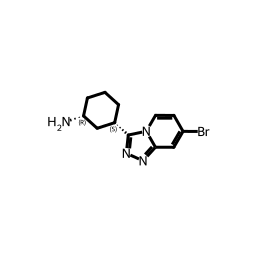 N[C@@H]1CCC[C@H](c2nnc3cc(Br)ccn23)C1